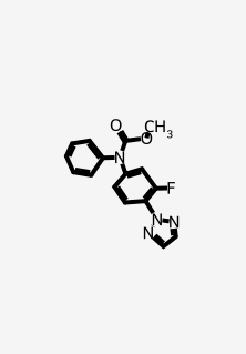 COC(=O)N(c1ccccc1)c1ccc(-n2nccn2)c(F)c1